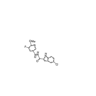 COc1ncc(NNC(=O)c2cc3cc(Cl)ccc3[nH]2)cc1F